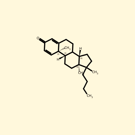 CCCCC1(C)CC[C@H]2C3CCC4=CC(=O)C=C[C@]4(C)[C@H]3CC[C@@]21C